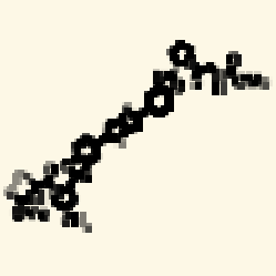 COC(=O)NCC(=O)N1CCC[C@H]1c1nc2cc(-c3cc4sc(-c5ccc6oc(C7C[C@H](C)CN7C(=O)[C@@H](NC(=O)OC)C(C)C)nc6c5)cc4s3)ccc2o1